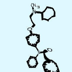 CN(CCOc1ccc(N(C(=O)c2ccccc2)c2ccccc2)cc1)C1CCCCC1